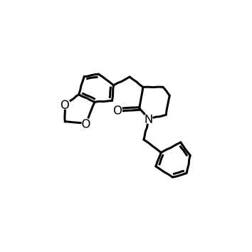 O=C1C(Cc2ccc3c(c2)OCO3)CCCN1Cc1ccccc1